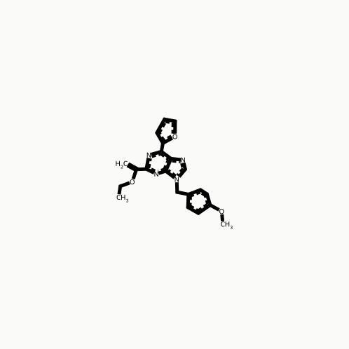 C=C(OCC)c1nc(-c2ccco2)c2ncn(Cc3ccc(OC)cc3)c2n1